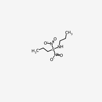 CCCNS(CCC)([N+](=O)[O-])[N+](=O)[O-]